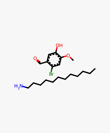 CCCCCCCCCCCCN.COc1cc(Br)c(C=O)cc1O